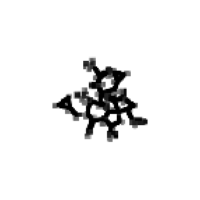 COC1CNC(=O)[C@]12C[C@@H](C#N)N(C(=O)[C@H](CC1CC1)N(C)C(=O)[C@H](CC1CC1)NC(=O)C(F)(F)F)C2